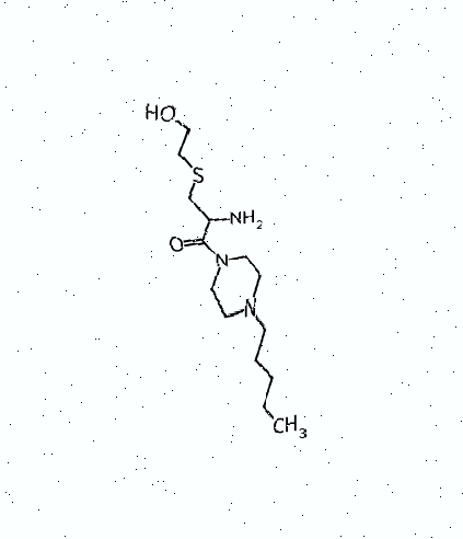 CCCCCN1CCN(C(=O)C(N)CSCCO)CC1